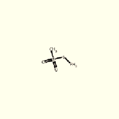 CS(=O)(=O)SP